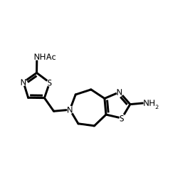 CC(=O)Nc1ncc(CN2CCc3nc(N)sc3CC2)s1